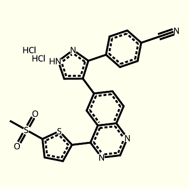 CS(=O)(=O)c1ccc(-c2ncnc3ccc(-c4c[nH]nc4-c4ccc(C#N)cc4)cc23)s1.Cl.Cl